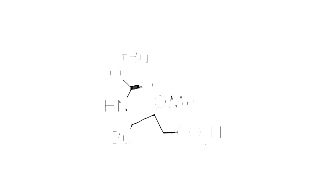 CC[C@H](C)[C@H](NC(=O)OC(C)(C)C)[C@@H](CC(=O)O)OC